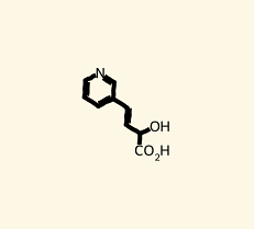 O=C(O)C(O)/C=C/c1cccnc1